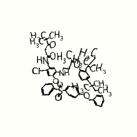 CCC(C)(C)c1ccc(OC(C)CCNc2cc(NC(=O)CC(=O)C(C)(C)C)c(Cl)cc2Oc2ccccc2S(=O)(=O)c2ccc(OCc3ccccc3)cc2)c(C(C)(C)CC)c1